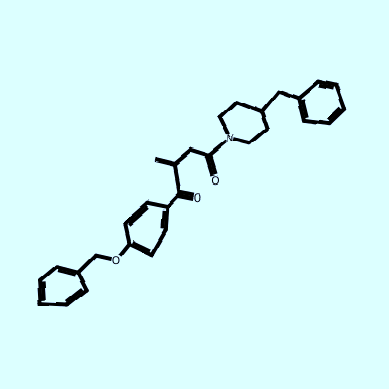 CC(CC(=O)N1CCC(Cc2ccccc2)CC1)C(=O)c1ccc(OCc2ccccc2)cc1